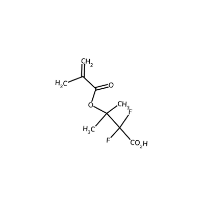 C=C(C)C(=O)OC(C)(C)C(F)(F)C(=O)O